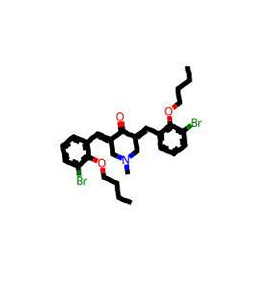 CCCCOc1c(Br)cccc1/C=C1\CN(C)C/C(=C\c2cccc(Br)c2OCCCC)C1=O